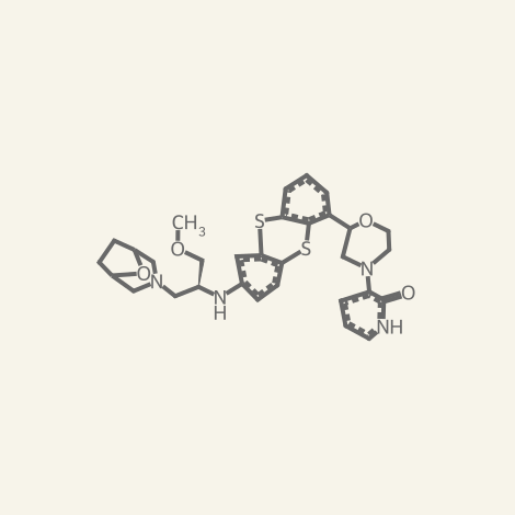 COC[C@H](CN1CC2CCC(C1)O2)Nc1ccc2c(c1)Sc1cccc(C3CN(c4ccc[nH]c4=O)CCO3)c1S2